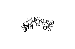 CS(=O)(=O)Nc1cccc(-c2ccc(OCCN3C(=O)CCC3=O)cn2)c1